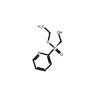 CCO[P@@](=O)([CH]O)c1ccccn1